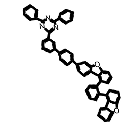 c1ccc(-c2nc(-c3ccccc3)nc(-c3cccc(-c4ccc(-c5ccc6c(c5)oc5cccc(-c7ccccc7-c7cccc8oc9ccccc9c78)c56)cc4)c3)n2)cc1